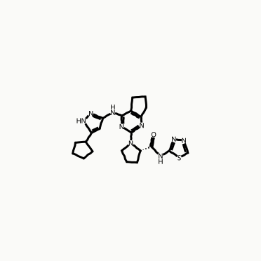 O=C(Nc1nncs1)[C@@H]1CCCN1c1nc2c(c(Nc3cc(C4CCCC4)[nH]n3)n1)CCC2